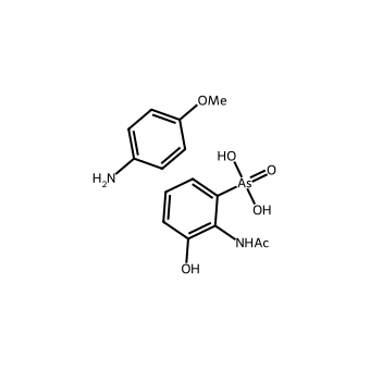 CC(=O)Nc1c(O)cccc1[As](=O)(O)O.COc1ccc(N)cc1